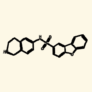 O=S(=O)(Nc1ccc2c(c1)CCNC2)c1ccc2oc3ccccc3c2c1